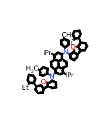 CCc1ccccc1-c1cccc2c1oc1c(N(c3ccc(C)cc3)c3cc(C(C)C)c4ccc5c(N(c6ccc(C)cc6)c6cccc7c6oc6c(-c8ccccc8CC)cccc67)cc(C(C)C)c6ccc3c4c65)cccc12